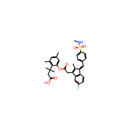 CNS(=O)(=O)c1ccc(/C=C2\C(C)=C(CC(=O)Oc3cc(C)cc(C)c3C(C)(C)CC(=O)O)c3cc(F)ccc32)cc1